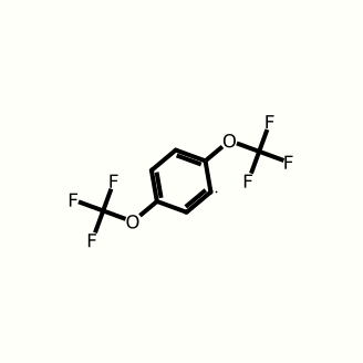 FC(F)(F)Oc1[c]cc(OC(F)(F)F)cc1